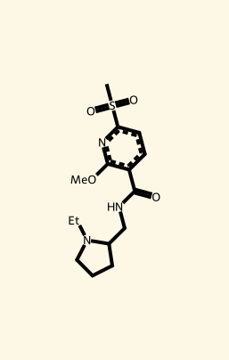 CCN1CCCC1CNC(=O)c1ccc(S(C)(=O)=O)nc1OC